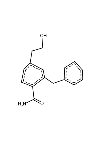 NC(=O)c1ccc(CCO)cc1Cc1ccccc1